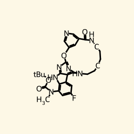 CN(C(=O)OC(C)(C)C)c1cc(F)cc2c1[nH]c1nc3nc(c12)NCCCCCCNC(=O)c1cncc(c1)O3